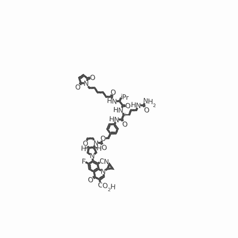 CC(C)C(NC(=O)CCCCCN1C(=O)C=CC1=O)C(=O)N[C@@H](CCCNC(N)=O)C(=O)Nc1ccc(COC(=O)N2CCO[C@@H]3CN(c4c(F)cc5c(=O)c(C(=O)O)cn(C6CC6)c5c4C#N)C[C@H]32)cc1